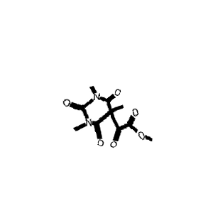 COC(=O)C(=O)C1(C)C(=O)N(C)C(=O)N(C)C1=O